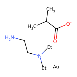 CC(C)C(=O)[O-].CCN(CC)CCN.[Au+]